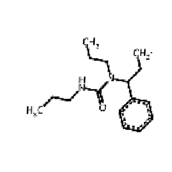 [CH2]CC(c1ccccc1)N(CCC)C(=O)NCCC